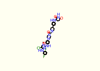 COc1cc(N2CCN(C(=O)CN3CCC(c4ccc(NC5CCC(=O)NC5=O)cc4)CC3)CC2)ccc1Nc1ncc(Cl)c(Nc2cc(F)ccc2F)n1